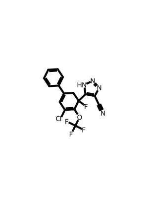 N#Cc1nn[nH]c1C1(F)CC(c2ccccc2)=CC(Cl)=C1OC(F)(F)F